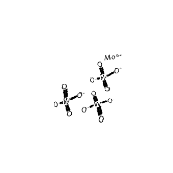 [Mo+6].[O]=[W](=[O])([O-])[O-].[O]=[W](=[O])([O-])[O-].[O]=[W](=[O])([O-])[O-]